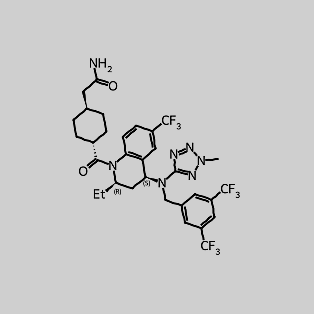 CC[C@@H]1C[C@H](N(Cc2cc(C(F)(F)F)cc(C(F)(F)F)c2)c2nnn(C)n2)c2cc(C(F)(F)F)ccc2N1C(=O)[C@H]1CC[C@H](CC(N)=O)CC1